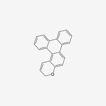 C1=Cc2c(ccc3c4ccccc4c4ccccc4c23)OC1